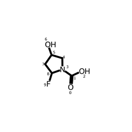 O=C(O)N1CC(O)CC1F